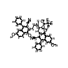 COc1ccc2c(=O)n(CCN(C)C(Cn3c(C#N)c(-c4ccccc4)c4cc(OC)ccc4c3=O)OC(=O)C(F)(F)F)c(C#N)c(-c3ccccc3)c2c1